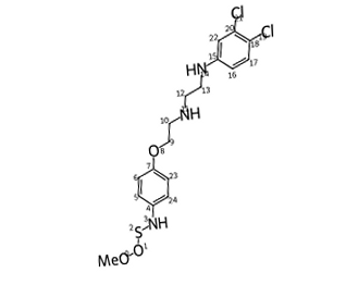 COOSNc1ccc(OCCNCCNc2ccc(Cl)c(Cl)c2)cc1